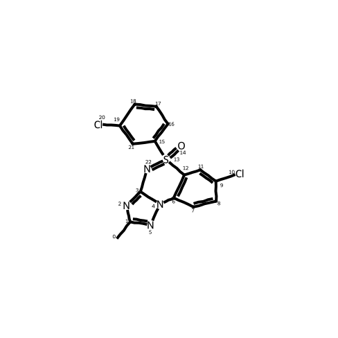 Cc1nc2n(n1)-c1ccc(Cl)cc1S(=O)(c1cccc(Cl)c1)=N2